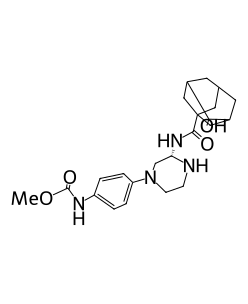 COC(=O)Nc1ccc(N2CCN[C@@H](NC(=O)C34CC5CC(C3)C(O)C(C5)C4)C2)cc1